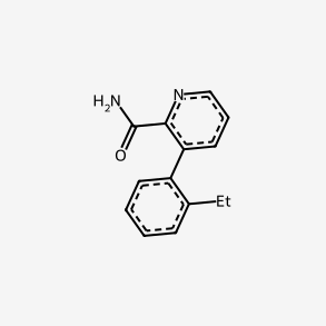 CCc1ccccc1-c1cccnc1C(N)=O